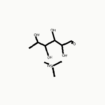 CC(O)C(O)C(O)C(O)C=O.C[SiH](C)C